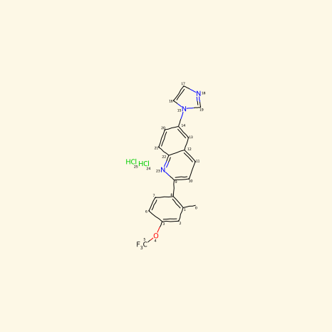 Cc1cc(OC(F)(F)F)ccc1-c1ccc2cc(-n3ccnc3)ccc2n1.Cl.Cl